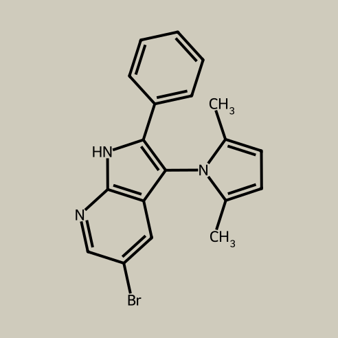 Cc1ccc(C)n1-c1c(-c2ccccc2)[nH]c2ncc(Br)cc12